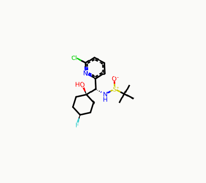 CC(C)(C)[S+]([O-])N[C@@H](c1cccc(Cl)n1)[C@]1(O)CC[C@@H](F)CC1